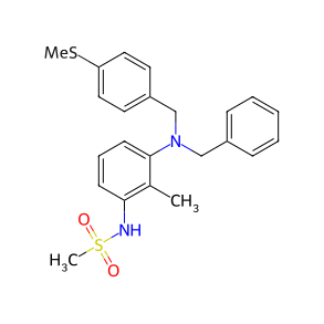 CSc1ccc(CN(Cc2ccccc2)c2cccc(NS(C)(=O)=O)c2C)cc1